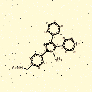 CC(=O)NCc1ccc(-c2nc(-c3ccccc3)c(-c3ccncc3)n2C)cc1